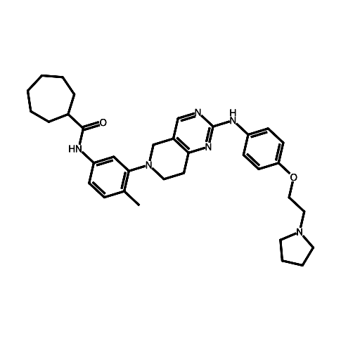 Cc1ccc(NC(=O)C2CCCCCC2)cc1N1CCc2nc(Nc3ccc(OCCN4CCCC4)cc3)ncc2C1